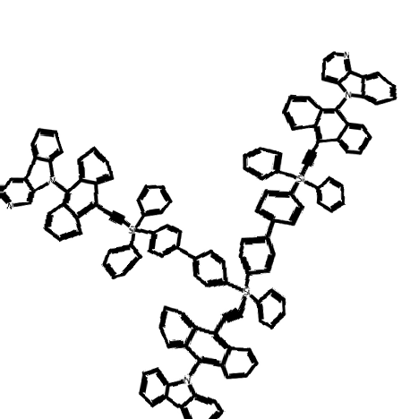 C(#C[Si](c1ccccc1)(c1ccc(-c2ccc([Si](C#Cc3c4ccccc4c(-n4c5ccccc5c5ccncc54)c4ccccc34)(c3ccccc3)c3ccccc3)cc2)cc1)c1ccc(-c2ccc([Si](C#Cc3c4ccccc4c(-n4c5ccccc5c5ncccc54)c4ccccc34)(c3ccccc3)c3ccccc3)cc2)cc1)c1c2ccccc2c(-n2c3ccccc3c3cnccc32)c2ccccc12